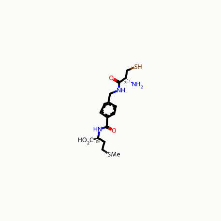 CSCC[C@H](NC(=O)c1ccc(CNC(=O)[C@@H](N)CS)cc1)C(=O)O